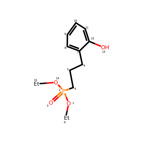 CCOP(=O)(CCCc1ccccc1O)OCC